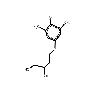 Cc1cc(OCCC(C)CO)cc(C)c1Br